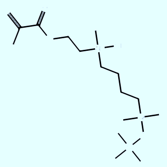 C=C(C)C(=O)OCC[N+](C)([SiH3])CCCC[Si](C)(C)O[Si](C)(C)C